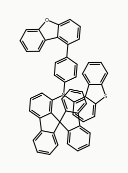 c1ccc2c(c1)-c1ccccc1C21c2ccccc2-c2cccc(N(c3ccc(-c4cccc5oc6ccccc6c45)cc3)c3cccc4sc5ccccc5c34)c21